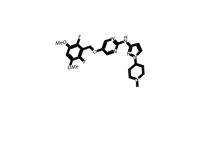 COc1cc(OC)c(F)c(COc2cnc(Nc3ccn(C4CCN(C)CC4)n3)nc2)c1F